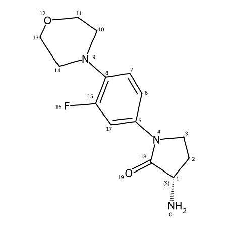 N[C@H]1CCN(c2ccc(N3CCOCC3)c(F)c2)C1=O